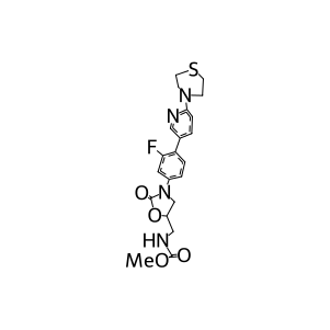 COC(=O)NCC1CN(c2ccc(-c3ccc(N4CCSCC4)nc3)c(F)c2)C(=O)O1